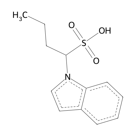 CCCC(n1ccc2ccccc21)S(=O)(=O)O